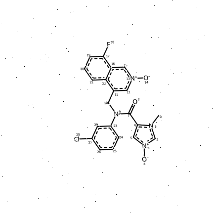 Cn1c[n+]([O-])cc1C(=O)N(Cc1c[n+]([O-])cc2c(F)cccc12)c1cccc(Cl)c1